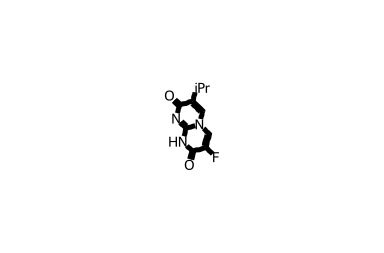 CC(C)c1cn2cc(F)c(=O)[nH]c2nc1=O